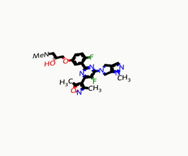 CNC[C@@H](O)COc1ccc(F)c(-c2nc(-c3c(C)noc3C)c(F)c(N3Cc4cnn(C)c4C3)n2)c1